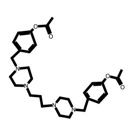 CC(=O)Oc1ccc(CN2CCN(CCCN3CCN(Cc4ccc(OC(C)=O)cc4)CC3)CC2)cc1